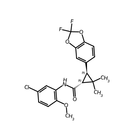 COc1ccc(Cl)cc1NC(=O)[C@@H]1[C@@H](c2ccc3c(c2)OC(F)(F)O3)C1(C)C